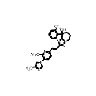 COc1nc(C=Cc2nc3n(n2)CCCC3(O)c2ccccc2C(F)(F)F)ccc1-n1cnc(C)c1